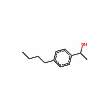 CCCCc1ccc(C(C)O)cc1